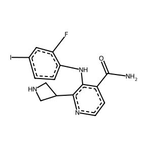 NC(=O)c1ccnc(C2CNC2)c1Nc1ccc(I)cc1F